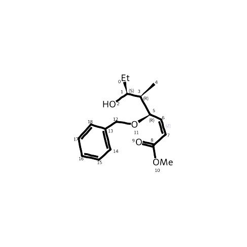 CC[C@H](O)[C@@H](C)[C@@H](/C=C\C(=O)OC)OCc1ccccc1